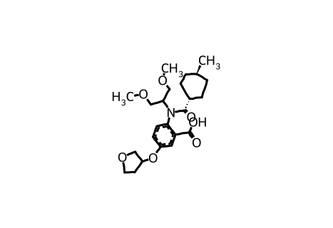 COCC(COC)N(c1ccc(OC2CCOC2)cc1C(=O)O)C(=O)[C@H]1CC[C@H](C)CC1